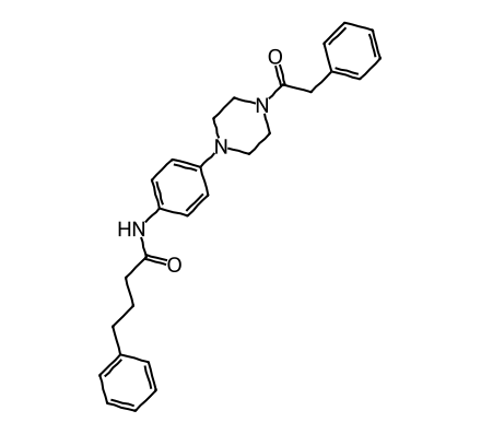 O=C(CCCc1ccccc1)Nc1ccc(N2CCN(C(=O)Cc3ccccc3)CC2)cc1